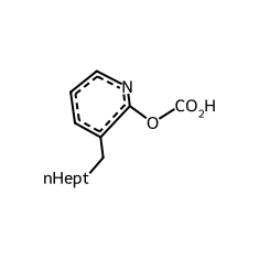 CCCCCCCCc1cccnc1OC(=O)O